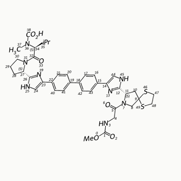 COC(=O)NCC(=O)N1CC2(C[C@H]1c1nc(-c3ccc(-c4ccc(-c5c[nH]c([C@@H]6CCCN6C(=O)[C@H](C(C)C)N(C)C(=O)O)n5)cc4)cc3)c[nH]1)SCCS2